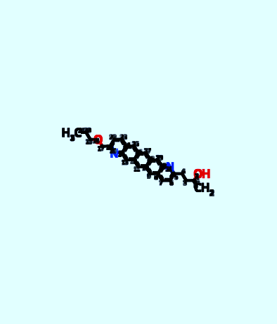 C=C(O)CCc1ccc2cc3cc4cc5nc(COCCC)ccc5cc4cc3cc2n1